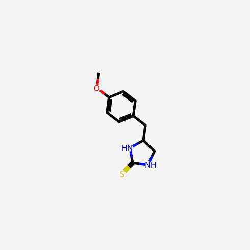 COc1ccc(CC2CNC(=S)N2)cc1